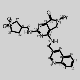 CC(C)N1Cc2c(NCc3cnc4ccccc4c3)nc(NCC3CCS(=O)(=O)C3)nc2C1=O